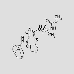 COC(=O)NC(C)(C)COc1noc(C(=O)NC2C3CC4CC(C3)CC2C4)c1SC1CCCC1